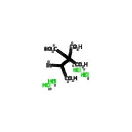 CCC(C(=O)O)C(C(=O)O)(C(=O)O)C(=O)O.Cl.Cl.Cl.Cl